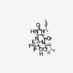 C#CCn1c(=O)[nH]c2nc(C(O)C(F)(F)F)n(C3CCCO3)c(=O)c21